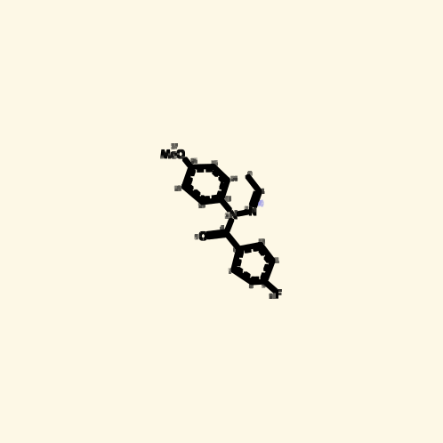 C/C=N\N(C(=O)c1ccc(F)cc1)c1ccc(OC)cc1